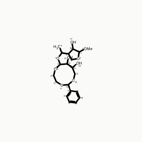 COC1OCC(C(C)OC2OCCOC(c3ccccc3)OCC(O)C2O)C1O